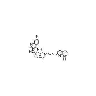 COC(C)CN(CCCCc1ccc2c(n1)NCCC2)CCC(Nc1nc(C)nc2cc(F)ccc12)C(=O)O